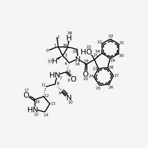 CC1(C)[C@H]2[C@@H](C(=O)N[C@H](C#N)C[C@@H]3CCNC3=O)N(C(=O)C3(O)c4ccccc4-c4ccccc43)C[C@H]21